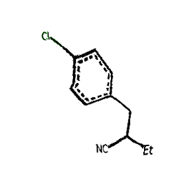 CCC(C#N)Cc1ccc(Cl)cc1